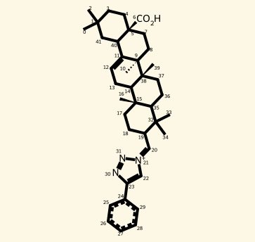 CC1(C)CC[C@]2(C(=O)O)CC[C@]3(C)C(=CCC4[C@@]5(C)CCC(/C=[N+]6/C=C(c7ccccc7)N=N6)C(C)(C)C5CC[C@]43C)C2C1